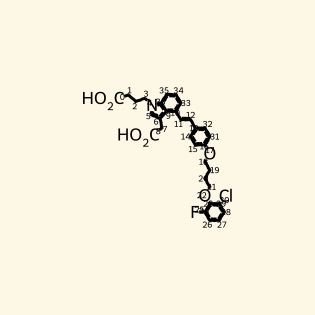 O=C(O)CCCn1cc(CC(=O)O)c2c(C=Cc3ccc(OCCCCOc4c(F)cccc4Cl)cc3)cccc21